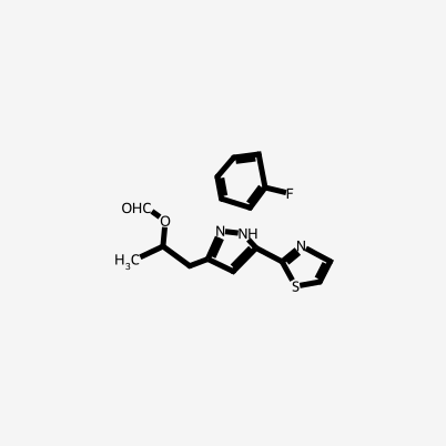 CC(Cc1cc(-c2nccs2)[nH]n1)OC=O.Fc1ccccc1